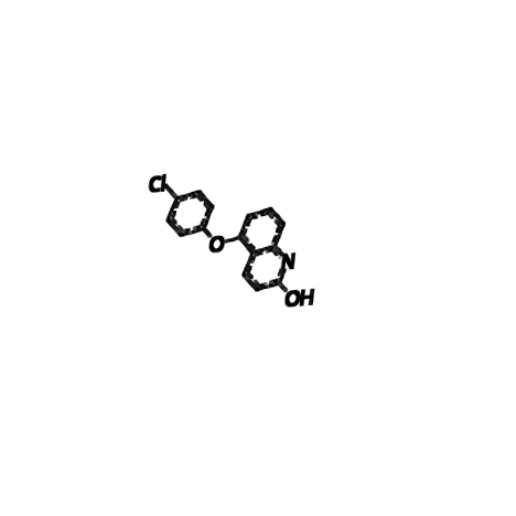 Oc1ccc2c(Oc3ccc(Cl)cc3)cccc2n1